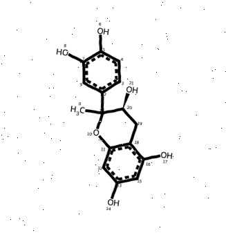 CC1(c2ccc(O)c(O)c2)Oc2cc(O)cc(O)c2C[C@@H]1O